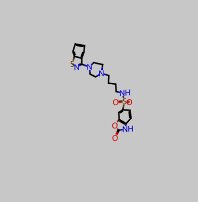 O=c1[nH]c2ccc(S(=O)(=O)NCCCCN3CCN(c4nsc5ccccc45)CC3)cc2o1